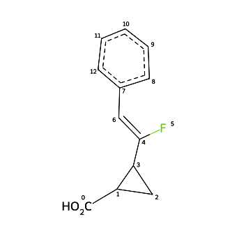 O=C(O)C1CC1/C(F)=C/c1ccccc1